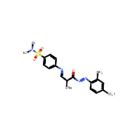 COC(C=Nc1ccc(S(=O)(=O)N(C#N)C#N)cc1)C(=O)N=Nc1ccc(S(=O)(=O)O)cc1[N+](=O)[O-]